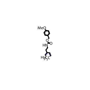 C/C=C\C(=C/C)CCNC(=O)OCc1ccc(OC)cc1